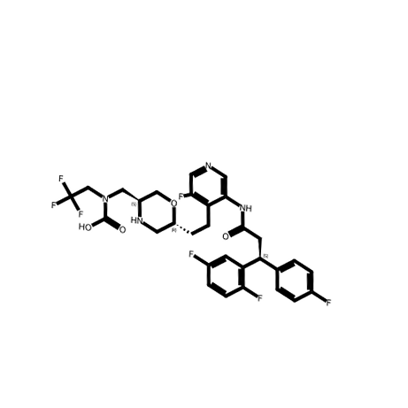 O=C(C[C@@H](c1ccc(F)cc1)c1cc(F)ccc1F)Nc1cncc(F)c1CC[C@@H]1CN[C@@H](CN(CC(F)(F)F)C(=O)O)CO1